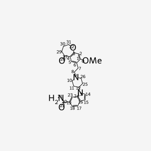 COc1cc2c(cc1CCN1CCC(n3ccc4ccc(C(N)=O)cc43)CC1)C(=O)CCCO2